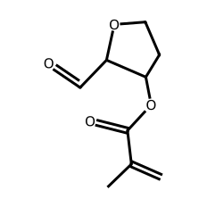 C=C(C)C(=O)OC1CCOC1C=O